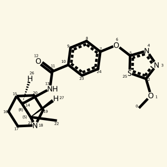 COc1nnc(Oc2ccc(C(=O)N[C@@H]3C4CCN(CC4)[C@H]3C)cc2)s1